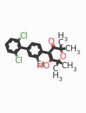 CCc1cc(-c2c(Cl)cccc2Cl)ccc1C1=C(O)C(C)(C)OC(C)(C)C1=O